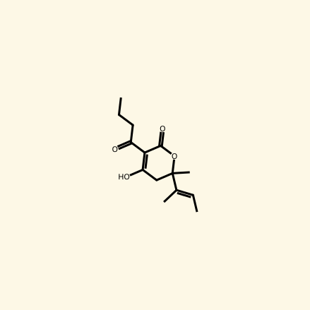 CC=C(C)C1(C)CC(O)=C(C(=O)CCC)C(=O)O1